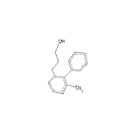 Cc1cccc(CCCO)c1-c1ccccc1